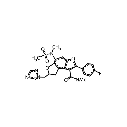 CNC(=O)c1c(-c2ccc(F)cc2)oc2cc(N(C)S(C)(=O)=O)c3c(c12)CC(Cn1cncn1)O3